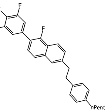 CCCCCc1ccc(CCc2ccc3c(F)c(-c4cc(F)c(C(F)(F)F)c(F)c4)ccc3c2)cc1